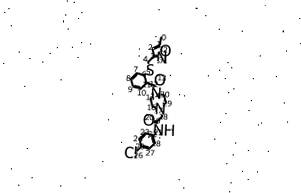 Cc1cc(CSC2C=CC=CC2C(=O)N2CCN(CC(=O)Nc3ccc(Cl)cc3)CC2)no1